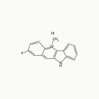 C[n+]1c2ccc(F)cc2cc2[nH]c3ccccc3c21.I